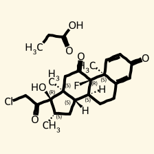 CCC(=O)O.C[C@H]1C[C@H]2[C@@H]3CCC4=CC(=O)C=C[C@]4(C)[C@@]3(F)C(=O)C[C@]2(C)[C@@]1(O)C(=O)CCl